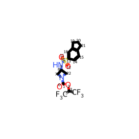 O=C(OC(C(F)(F)F)C(F)(F)F)N1CC(NS(=O)(=O)c2ccc3c(c2)CCC3)C1